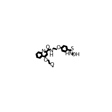 COCCOc1cc(C(=O)NCCOc2ccc(C(=S)NO)cc2)nc2ccccc12